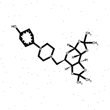 CC1(C)O[C@H]2[C@@H](O1)[C@@H](CN1CCN(c3ccc(O)cc3)CC1)O[C@@H]1OC(C)(C)O[C@@H]12